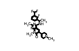 Cc1nc(N[C@H](C)c2cccc(C(F)F)c2F)c2cc(C3=CCN(C)CC3)c(=O)n(C)c2n1